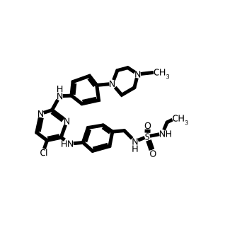 CCNS(=O)(=O)NCc1ccc(Nc2nc(Nc3ccc(N4CCN(C)CC4)cc3)ncc2Cl)cc1